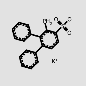 O=S(=O)([O-])c1ccc(-c2ccccc2)c(-c2ccccc2)c1P.[K+]